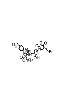 COC(=O)C(C)(C)NP(=O)(OC[C@H]1O[C@@H](n2cc(/C=C/Br)c(=O)[nH]c2=O)CC1O)Oc1ccc([N+](=O)[O-])cc1